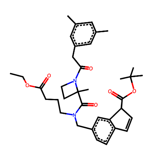 CCOC(=O)CCCN(Cc1ccc2c(c1)C(C(=O)OC(C)(C)C)C=C2)C(=O)C1(C)CCN1C(=O)Cc1cc(C)cc(C)c1